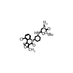 Cc1onc2c1c(=O)n(C1CCCC(NC(=O)CN(C)C(=O)OC(C)(C)C)C1)c1cccc(Cl)c21